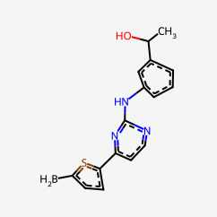 Bc1ccc(-c2ccnc(Nc3cccc(C(C)O)c3)n2)s1